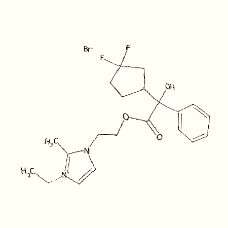 CC[n+]1ccn(CCOC(=O)C(O)(c2ccccc2)C2CCC(F)(F)C2)c1C.[Br-]